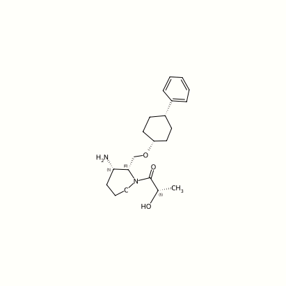 C[C@H](O)C(=O)N1CCC[C@H](N)[C@@H]1CO[C@H]1CC[C@@H](c2ccccc2)CC1